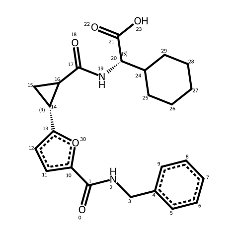 O=C(NCc1ccccc1)c1ccc([C@@H]2CC2C(=O)N[C@H](C(=O)O)C2CCCCC2)o1